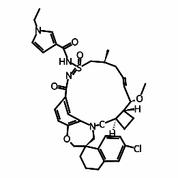 CCn1ccc(C(=O)NS2(=O)=NC(=O)c3ccc4c(c3)N(C[C@@H]3CC[C@H]3[C@@H](OC)/C=C/C[C@H](C)C2)C[C@@]2(CCCc3cc(Cl)ccc32)CO4)c1